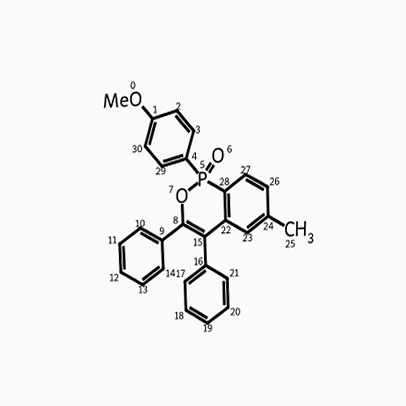 COc1ccc(P2(=O)OC(c3ccccc3)=C(c3ccccc3)c3cc(C)ccc32)cc1